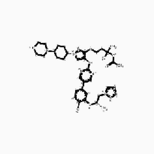 CC(=O)OC(C)(C)CCOc1nn([C@H]2CC[C@H](N3CCOCC3)CC2)cc1Nc1ncc(-c2ccc(Cl)c(O[C@@H](C)Cn3cnnn3)c2)cn1